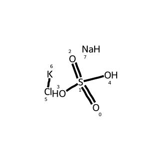 O=S(=O)(O)O.[Cl][K].[NaH]